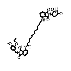 CCOc1cc(CN2C(=O)c3cccc(NC(=O)CCCCCCCCCCCNc4cccc5c4C(=O)N(C4CCC(=O)NC4=O)C5=O)c3C2=O)ccc1OC